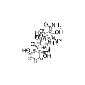 CN(C)[C@H]1C(O)=C(C(N)=O)C(=O)[C@]2(O)C(O)=C3C(=O)c4c(O)cccc4[C@@](C)(O)[C@H]3C[C@@H]12